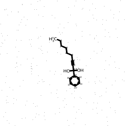 CCCCCCC#CC(O)(O)c1ccccc1